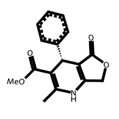 COC(=O)C1=C(C)NC2=C(C(=O)OC2)[C@H]1c1ccccc1